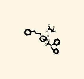 O=C(O[C@H]1C[N+]2(CCCc3ccccc3)CCC1CC2)N(Cc1ccco1)c1ccccc1.O=C([O-])C(F)(F)F